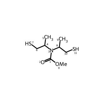 COC(=O)N(C(C)CS)C(C)CS